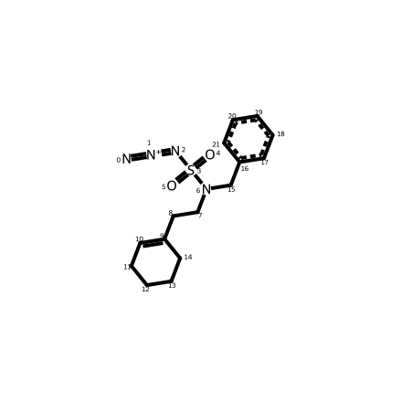 [N-]=[N+]=NS(=O)(=O)N(CCC1=CCCCC1)Cc1ccccc1